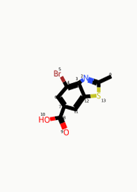 Cc1nc2c(Br)cc(C(=O)O)cc2s1